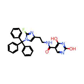 O=C(NCCc1cn(C(c2ccccc2)(c2ccccc2)c2ccccc2)c(F)n1)c1cnc(O)nc1O